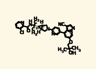 CC(C)(O)COc1cc(-c2ccc(N3C[C@@H]4[C@H](C3)[C@H]4C(C)(C)NC(=O)c3ncccc3Cl)nc2)c2c(C#N)cnn2c1